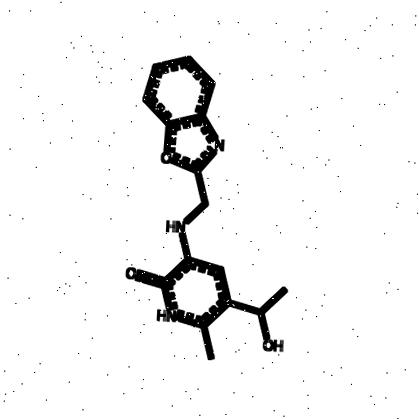 Cc1[nH]c(=O)c(NCc2nc3ccccc3o2)cc1C(C)O